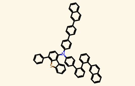 c1ccc(-c2ccc(N(c3ccc(-c4ccc(-c5ccc6ccccc6c5)cc4)cc3)c3ccc(-c4ccccc4-c4ccccc4-c4ccc5ccccc5c4)cc3)c3c2sc2ccccc23)cc1